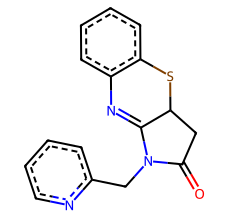 O=C1CC2Sc3ccccc3N=C2N1Cc1ccccn1